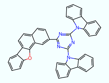 c1ccc2c(c1)oc1c3cc(-c4nc(-n5c6ccccc6c6ccccc65)nc(-n5c6ccccc6c6ccccc65)n4)ccc3ccc21